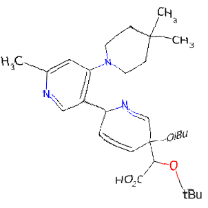 Cc1cc(N2CCC(C)(C)CC2)c(C2C=CC(OCC(C)C)(C(OC(C)(C)C)C(=O)O)C=N2)cn1